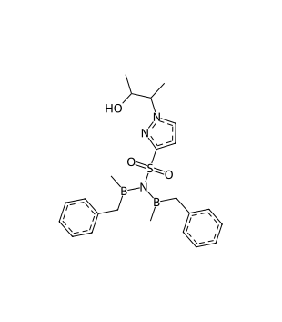 CB(Cc1ccccc1)N(B(C)Cc1ccccc1)S(=O)(=O)c1ccn(C(C)C(C)O)n1